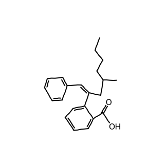 CCCCC(C)CC(=Cc1ccccc1)c1ccccc1C(=O)O